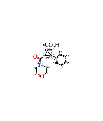 O=C(O)[C@H]1[C@H](C(=O)N2CCOCC2)[C@@H]1c1ccccc1